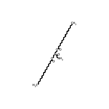 CCCCCC=CCC=CCCCCCCCC(=O)OCCN(CCOC(=O)CCCCCCCC=CCC=CCCCCC)C(=O)CN